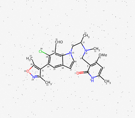 COc1cc(C)[nH]c(=O)c1CN(C)C(C)Cn1ccc2cc(-c3c(C)noc3C)c(Cl)c(C=O)c21